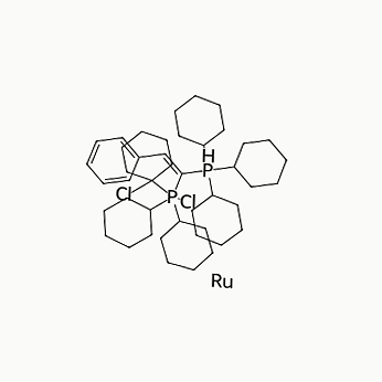 ClC1(P(Cl)(C(=Cc2ccccc2)[PH](C2CCCCC2)(C2CCCCC2)C2CCCCC2)(C2CCCCC2)C2CCCCC2)CCCCC1.[Ru]